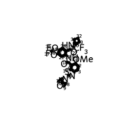 COc1ccc2nc(N3C4COCC3C4)sc2c1C(=O)Nc1cc2c(cc1C(=O)NC1(C(F)(F)F)CCC1)OC(F)(F)O2